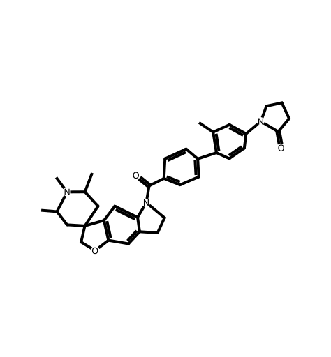 Cc1cc(N2CCCC2=O)ccc1-c1ccc(C(=O)N2CCc3cc4c(cc32)C2(CO4)CC(C)N(C)C(C)C2)cc1